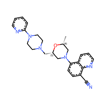 C[C@@H]1CN(c2ccc(C#N)c3ncccc23)C[C@H](CN2CCN(c3ccccn3)CC2)O1